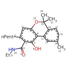 CCCCCc1cc2c(c(O)c1C(=O)NCC)-c1cc(C)ccc1C(C)(C)O2